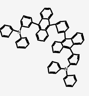 c1ccc(N(c2ccccc2)c2cccc(-c3c4ccccc4c(-c4cccc(-c5c6ccccc6c(-c6cccc(N(c7ccccc7)c7ccccc7)c6)c6ccccc56)c4)c4ccccc34)c2)cc1